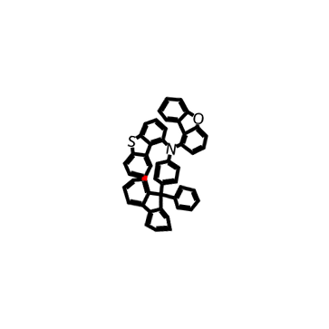 c1ccc(C2(c3ccc(N(c4cccc5oc6ccccc6c45)c4cccc5sc6ccccc6c45)cc3)c3ccccc3-c3ccccc32)cc1